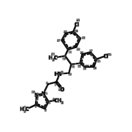 Cc1cc(C)n(CC(=O)NCC(c2ccc(Cl)cc2)C(C)c2ccc(Cl)cc2)n1